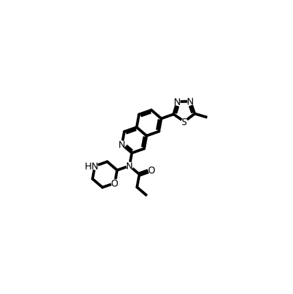 CCC(=O)N(c1cc2cc(-c3nnc(C)s3)ccc2cn1)C1CNCCO1